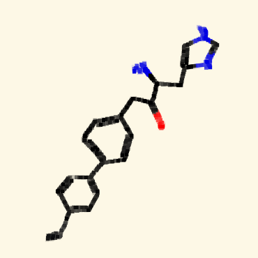 CCCCc1ccc(-c2ccc(CC(=O)[C@@H](N)Cc3c[nH]cn3)cc2)cc1